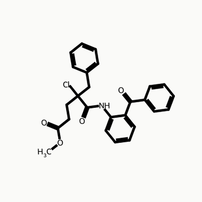 COC(=O)CCC(Cl)(Cc1ccccc1)C(=O)Nc1ccccc1C(=O)c1ccccc1